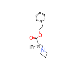 CC(C)[C@@H](CN1CCC1)C(=O)OCCc1ccccc1